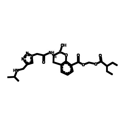 CCC(CC)C(=O)OCOC(=O)c1cccc2c1OB(O)[C@@H](NC(=O)Cn1cc(CNC(C)C)nn1)C2